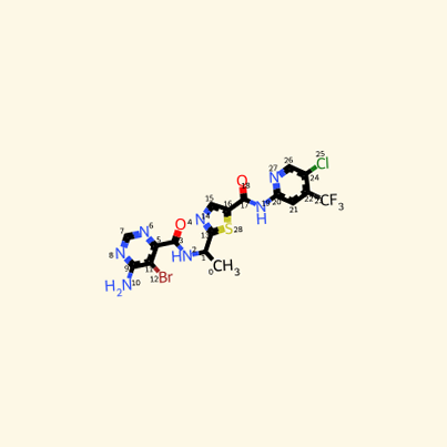 CC(NC(=O)c1ncnc(N)c1Br)c1ncc(C(=O)Nc2cc(C(F)(F)F)c(Cl)cn2)s1